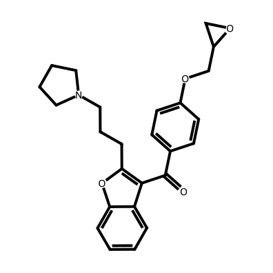 O=C(c1ccc(OCC2CO2)cc1)c1c(CCCN2CCCC2)oc2ccccc12